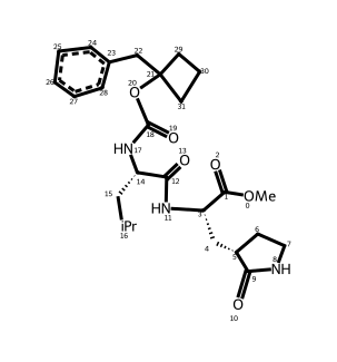 COC(=O)[C@H](C[C@@H]1CCNC1=O)NC(=O)[C@H](CC(C)C)NC(=O)OC1(Cc2ccccc2)CCC1